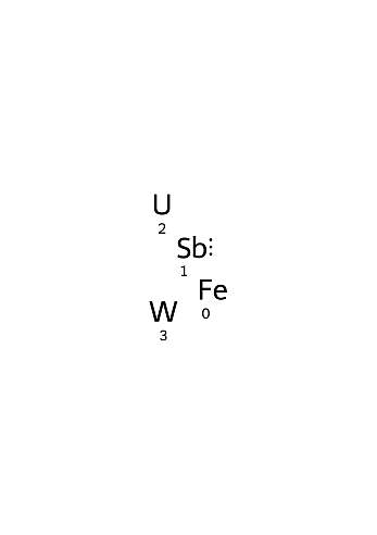 [Fe].[Sb].[U].[W]